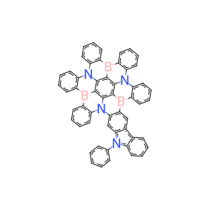 c1ccc(-n2c3ccccc3c3cc4c(cc32)N2c3ccccc3B3c5ccccc5N5c6ccccc6B6c7ccccc7N7c8ccccc8B4c4c7c6c5c3c42)cc1